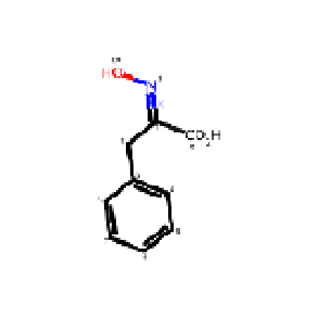 O=C(O)/C(Cc1ccccc1)=N/O